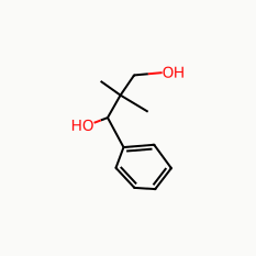 CC(C)(CO)C(O)c1ccccc1